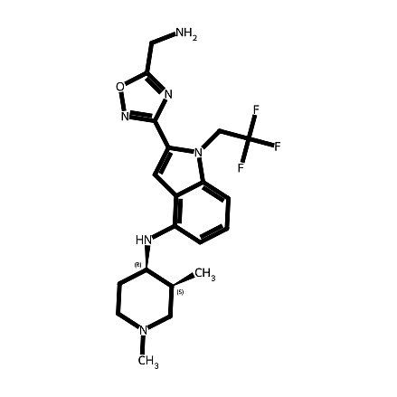 C[C@H]1CN(C)CC[C@H]1Nc1cccc2c1cc(-c1noc(CN)n1)n2CC(F)(F)F